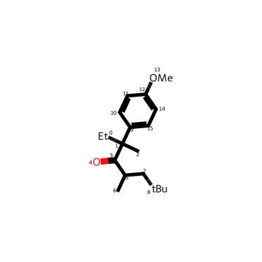 CCC(C)(C(=O)C(C)CC(C)(C)C)c1ccc(OC)cc1